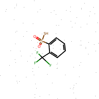 O=S(=O)(S)c1ccccc1C(F)(F)F